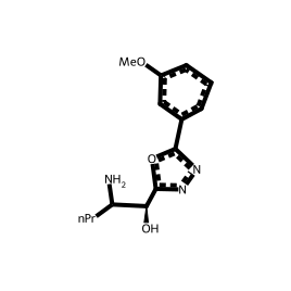 CCCC(N)[C@H](O)c1nnc(-c2cccc(OC)c2)o1